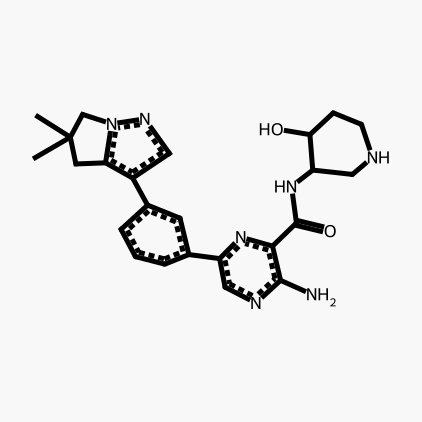 CC1(C)Cc2c(-c3cccc(-c4cnc(N)c(C(=O)NC5CNCCC5O)n4)c3)cnn2C1